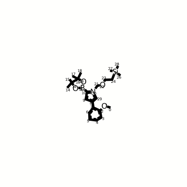 COc1ccccc1-c1cc(B2OC(C)(C)C(C)(C)O2)n(COCC[Si](C)(C)C)c1